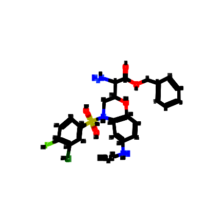 NC(C(=O)OCc1ccccc1)C1CN(S(=O)(=O)c2ccc(F)c(Cl)c2)c2cc(NC(=O)O)ccc2O1